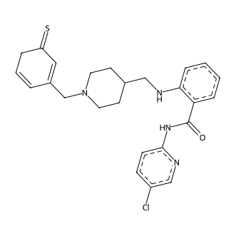 O=C(Nc1ccc(Cl)cn1)c1ccccc1NCC1CCN(CC2=CC(=S)CC=C2)CC1